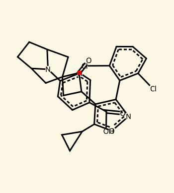 O=C(O)c1ccc(N2C3CCC2CC2(CC(c4c(-c5c(Cl)cccc5Cl)noc4C4CC4)C2=O)C3)nc1